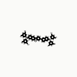 Cc1cc(C)cc(N(c2cc(C)cc(C)c2)c2ccc3cc(-c4ccc5c(c4)oc4cc6cc(N(c7cc(C)cc(C)c7)c7cc(C)cc(C)c7)ccc6cc45)ccc3c2)c1